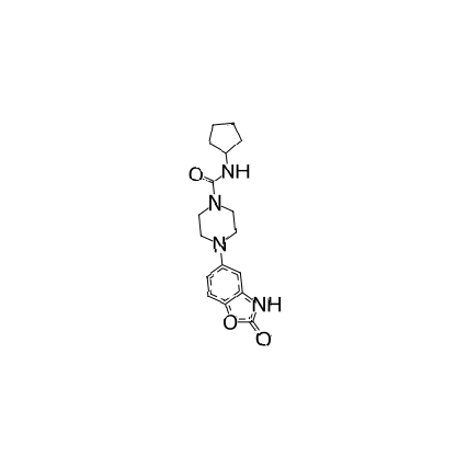 O=C(NC1CCCC1)N1CCN(c2ccc3oc(=O)[nH]c3c2)CC1